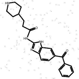 O=C(CCC1CCNCC1)Nc1nc2ccc(C(=O)c3ccccc3)cc2[nH]1